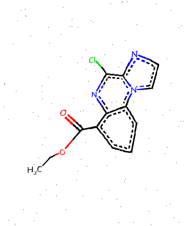 CCOC(=O)c1cccc2c1nc(Cl)c1nccn12